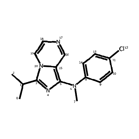 CC(C)c1nc(N(C)c2ccc(Cl)cc2)c2cnccn12